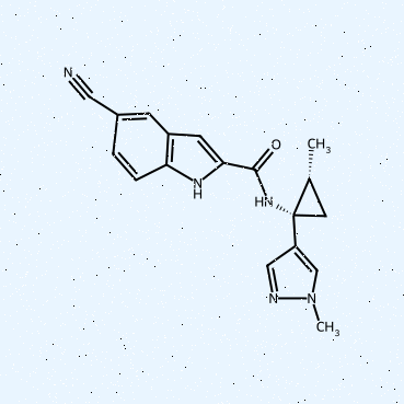 C[C@@H]1C[C@@]1(NC(=O)c1cc2cc(C#N)ccc2[nH]1)c1cnn(C)c1